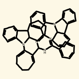 C1=CCC2C(=C1)c1ccccc1N2c1ccccc1C1=NC(C2=CCCCC=C2N2c3ccccc3C3CCCCCC32)NC(c2ccccc2)=N1